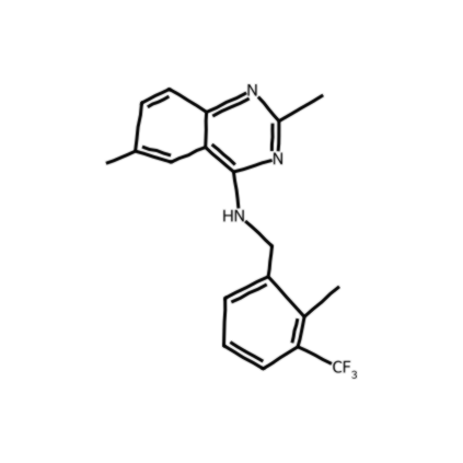 Cc1ccc2nc(C)nc(NCc3cccc(C(F)(F)F)c3C)c2c1